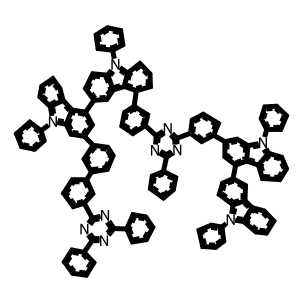 c1ccc(-c2nc(-c3ccccc3)nc(-c3cccc(-c4cccc(-c5cc(-c6ccc7c(c6)c6c(-c8cccc(-c9nc(-c%10ccccc%10)nc(-c%10cccc(-c%11cc(-c%12ccc%13c(c%12)c%12ccccc%12n%13-c%12ccccc%12)c%12c%13ccccc%13n(-c%13ccccc%13)c%12c%11)c%10)n9)c8)cccc6n7-c6ccccc6)c6c7ccccc7n(-c7ccccc7)c6c5)c4)c3)n2)cc1